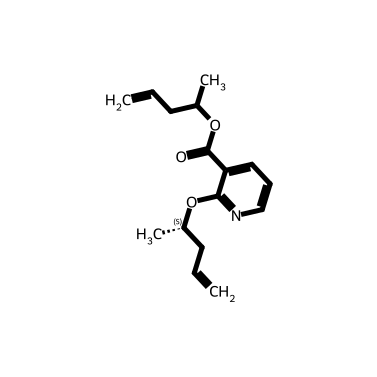 C=CCC(C)OC(=O)c1cccnc1O[C@@H](C)CC=C